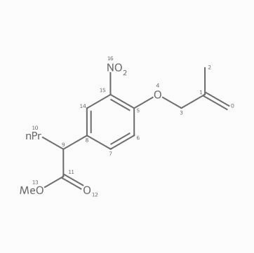 C=C(C)COc1ccc(C(CCC)C(=O)OC)cc1[N+](=O)[O-]